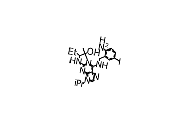 CCC(Nc1nc(NCc2cc(I)ccc2N)c2ncn(C(C)C)c2n1)C(C)(C)O